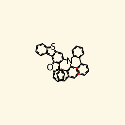 c1ccc(-c2ccccc2N(c2cccc3ccccc23)c2cc3sc4ccccc4c3c3oc4ccccc4c23)cc1